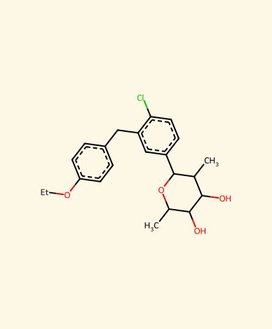 CCOc1ccc(Cc2cc(C3OC(C)C(O)C(O)C3C)ccc2Cl)cc1